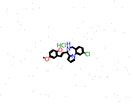 COc1ccc2oc(C3NCc4ccc(Cl)cc4-n4cccc43)cc2c1.Cl